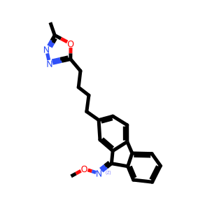 CO/N=C1/c2ccccc2-c2ccc(CCCCc3nnc(C)o3)cc21